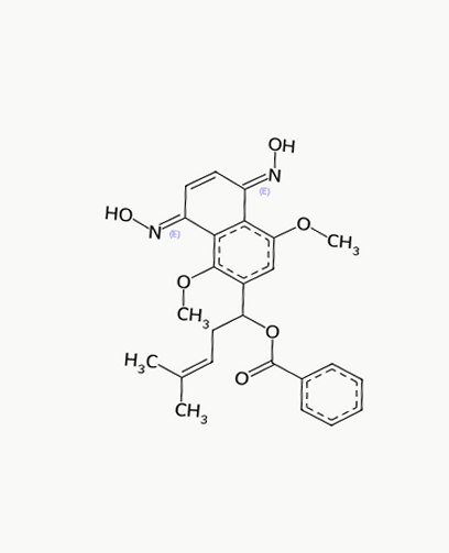 COc1cc(C(CC=C(C)C)OC(=O)c2ccccc2)c(OC)c2c1/C(=N/O)C=C/C2=N\O